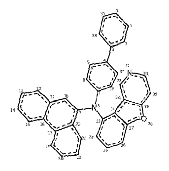 c1ccc(-c2ccc(N(c3cc4ccccc4c4ccccc34)c3cccc4oc5ccncc5c34)cc2)cc1